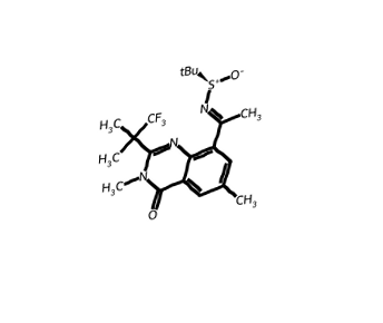 CC(=N[S@+]([O-])C(C)(C)C)c1cc(C)cc2c(=O)n(C)c(C(C)(C)C(F)(F)F)nc12